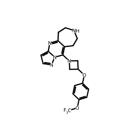 FC(F)(F)Oc1ccc(OC2CN(c3c4c(nc5ccnn35)CCNCC4)C2)cc1